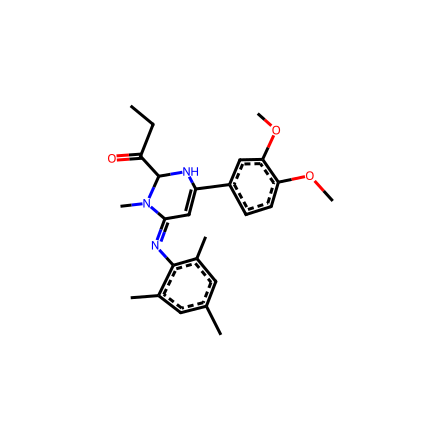 CCC(=O)C1NC(c2ccc(OC)c(OC)c2)=CC(=Nc2c(C)cc(C)cc2C)N1C